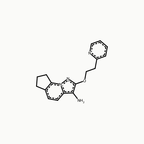 Nc1c(OCCc2ccccn2)nn2c3c(ccc12)CCC3